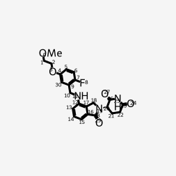 COCCOc1ccc(F)c(CNc2cccc3c2CN([C@H]2CCC(=O)NC2=O)C3=O)c1